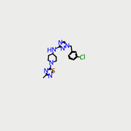 Cc1nsc(N2CCC(Nc3ncn(Cc4cccc(Cl)c4)n3)CC2)n1